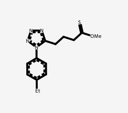 CCc1ccc(-n2nnnc2CCCC(=S)OC)cc1